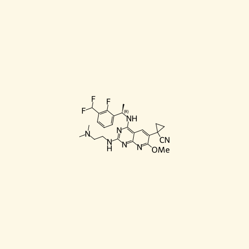 COc1nc2nc(NCCN(C)C)nc(N[C@H](C)c3cccc(C(F)F)c3F)c2cc1C1(C#N)CC1